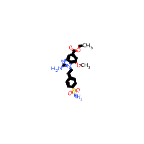 CCOC(=O)c1cc(OC)c2c(c1)nc(N)n2CCc1ccc(S(N)(=O)=O)cc1